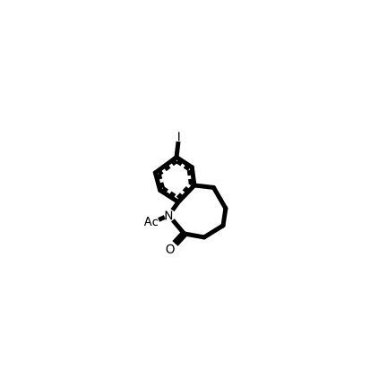 CC(=O)N1C(=O)CCCCc2cc(I)ccc21